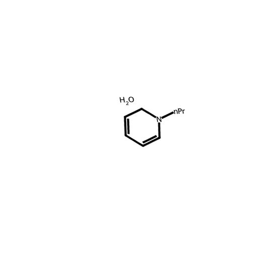 CCCN1C=CC=CC1.O